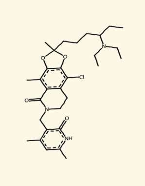 CCC(CCCC1(C)Oc2c(C)c3c(c(Cl)c2O1)CCN(Cc1c(C)cc(C)[nH]c1=O)C3=O)N(CC)CC